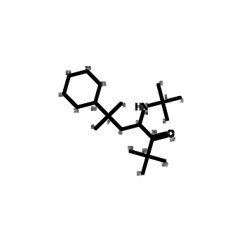 CC(C)(C)NC(CC(C)(C)C1CCCCC1)C(=O)C(C)(C)C